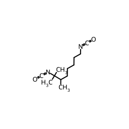 CC(CCCCCN=C=O)C(C)(C)N=C=O